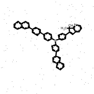 CC1(C)C(c2ccc(N(c3ccc(-c4ccc(-c5ccc6ccccc6c5)cc4)cc3)c3ccc(-c4ccc5ccccc5c4)cc3)cc2)=Cc2cccnc21